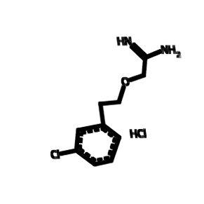 Cl.N=C(N)COCCc1cccc(Cl)c1